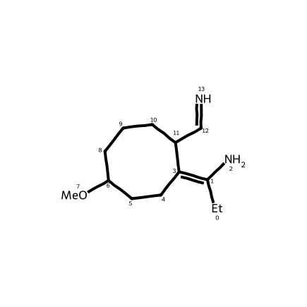 CC/C(N)=C1\CCC(OC)CCCC1C=N